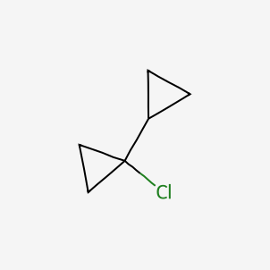 ClC1(C2CC2)CC1